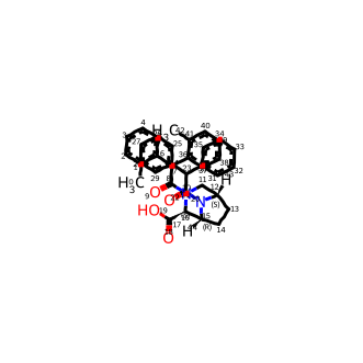 Cc1ccccc1C(C(=O)N1C[C@@H]2CC[C@H]([C@H]1C(=O)O)N2C(=O)C(c1ccccc1)c1ccccc1)c1ccccc1C